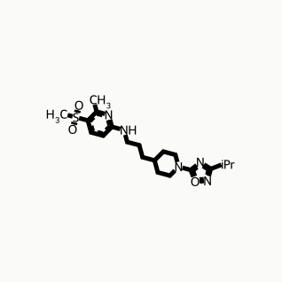 Cc1nc(NCCCC2CCN(c3nc(C(C)C)no3)CC2)ccc1S(C)(=O)=O